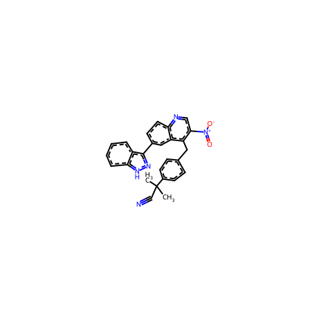 CC(C)(C#N)c1ccc(Cc2c([N+](=O)[O-])cnc3ccc(-c4n[nH]c5ccccc45)cc23)cc1